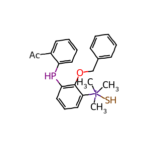 CC(=O)c1ccccc1Pc1cccc(I(C)(C)(C)S)c1OCc1ccccc1